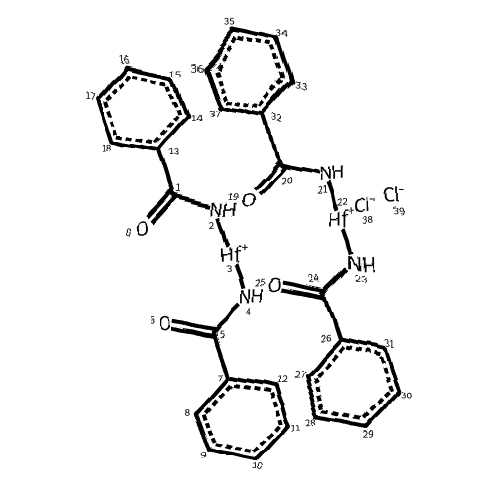 O=C([NH][Hf+][NH]C(=O)c1ccccc1)c1ccccc1.O=C([NH][Hf+][NH]C(=O)c1ccccc1)c1ccccc1.[Cl-].[Cl-]